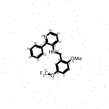 COc1ccc(OC(F)(F)F)cc1CNc1cccnc1-c1ccccc1